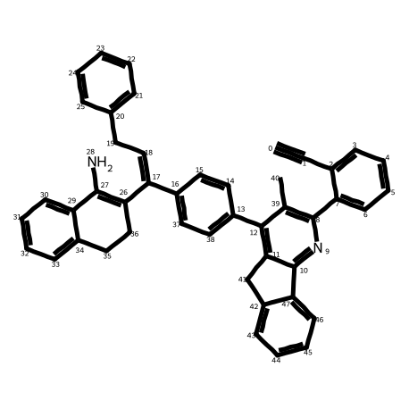 C#Cc1ccccc1-c1nc2c(c(-c3ccc(/C(=C/Cc4ccccc4)C4=C(N)c5ccccc5CC4)cc3)c1C)Cc1ccccc1-2